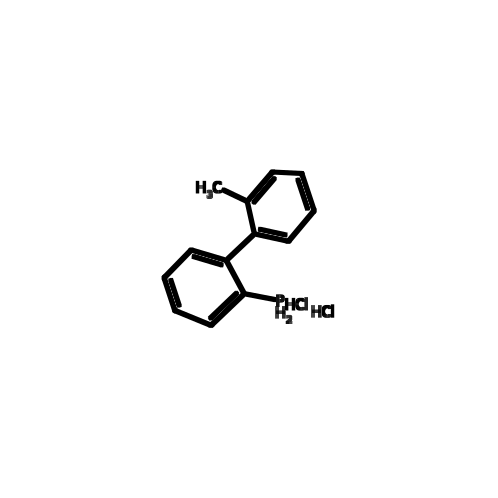 Cc1ccccc1-c1ccccc1P.Cl.Cl